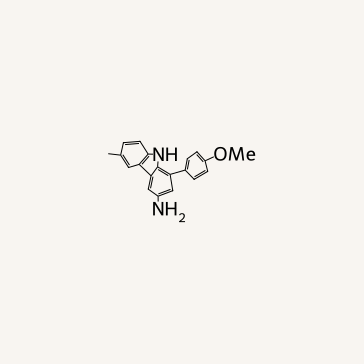 COc1ccc(-c2cc(N)cc3c2[nH]c2ccc(C)cc23)cc1